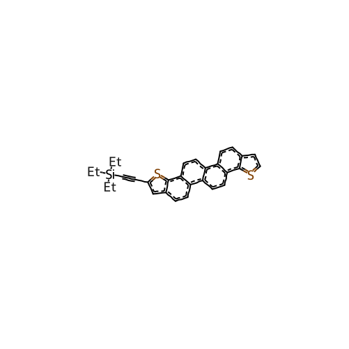 CC[Si](C#Cc1cc2ccc3c4ccc5c(ccc6ccsc65)c4ccc3c2s1)(CC)CC